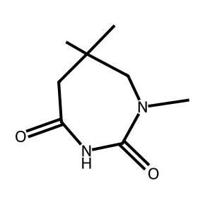 CN1CC(C)(C)CC(=O)NC1=O